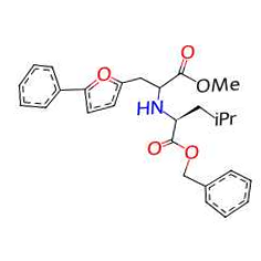 COC(=O)C(Cc1ccc(-c2ccccc2)o1)N[C@@H](CC(C)C)C(=O)OCc1ccccc1